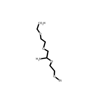 CCOCCOC(N)COCCOCC(=O)O